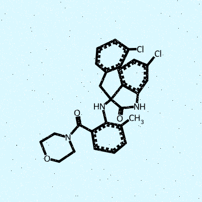 Cc1cccc(C(=O)N2CCOCC2)c1NC1(Cc2cccc(Cl)c2)C(=O)Nc2cc(Cl)ccc21